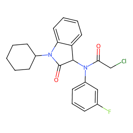 O=C1C(N(C(=O)CCl)c2cccc(F)c2)c2ccccc2N1C1CCCCC1